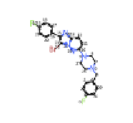 Fc1ccc(CN2CCN(c3ccc4nc(-c5ccc(F)cc5)c(Br)n4n3)CC2)cc1